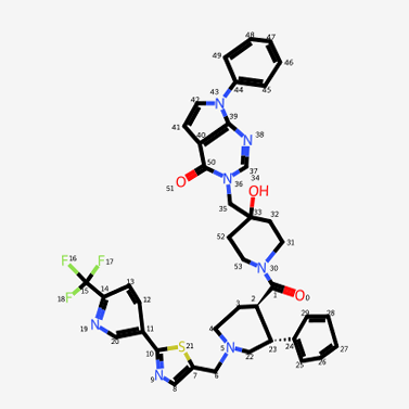 O=C([C@@H]1CCN(Cc2cnc(-c3ccc(C(F)(F)F)nc3)s2)C[C@H]1c1ccccc1)N1CCC(O)(Cn2cnc3c(ccn3-c3ccccc3)c2=O)CC1